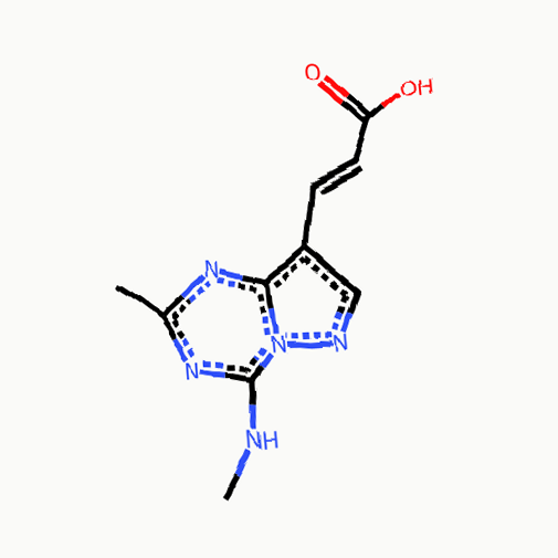 CNc1nc(C)nc2c(C=CC(=O)O)cnn12